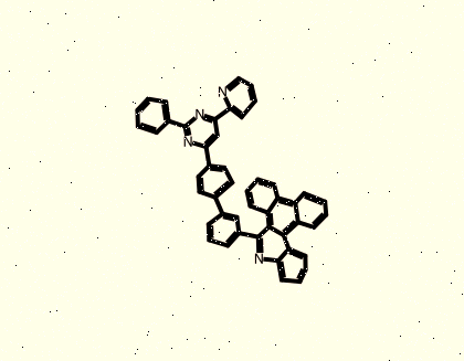 c1ccc(-c2nc(-c3ccc(-c4cccc(-c5nc6ccccc6c6c7ccccc7c7ccccc7c56)c4)cc3)cc(-c3ccccn3)n2)cc1